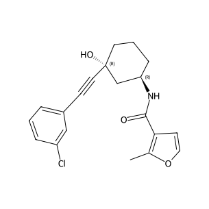 Cc1occc1C(=O)N[C@@H]1CCC[C@](O)(C#Cc2cccc(Cl)c2)C1